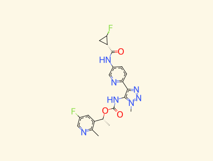 Cc1ncc(F)cc1[C@@H](C)OC(=O)Nc1c(-c2ccc(NC(=O)[C@@H]3C[C@H]3F)cn2)nnn1C